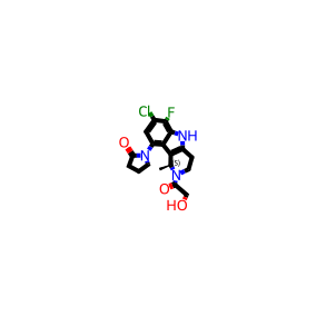 C[C@H]1c2c([nH]c3c(F)c(Cl)cc(N4CCCC4=O)c23)CCN1C(=O)CO